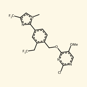 COc1cnc(Cl)nc1OCc1ccc(-c2nc(C(F)(F)F)cn2C)cc1CC(F)(F)F